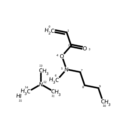 C=CC(=O)ON(C)CCCC.CN(C)C.I